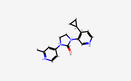 Cc1cc(N2CCN(c3cnccc3C3CC3)C2=O)ccn1